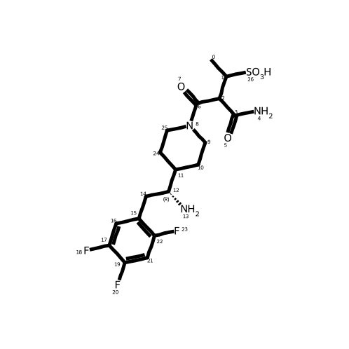 CC(C(C(N)=O)C(=O)N1CCC([C@H](N)Cc2cc(F)c(F)cc2F)CC1)S(=O)(=O)O